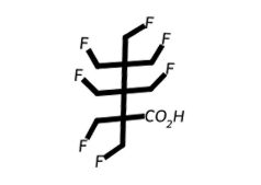 O=C(O)C(CF)(CF)C(CF)(CF)C(CF)(CF)CF